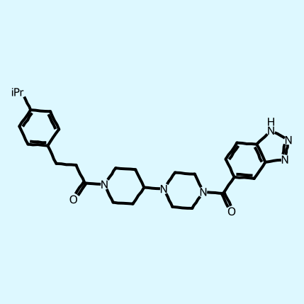 CC(C)c1ccc(CCC(=O)N2CCC(N3CCN(C(=O)c4ccc5[nH]nnc5c4)CC3)CC2)cc1